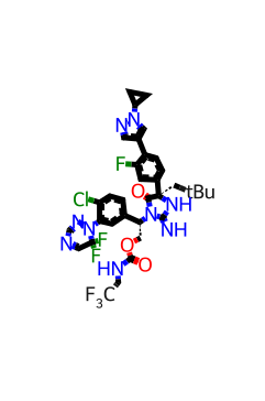 CC(C)(C)C[C@]1(c2ccc(-c3cnn(C4CC4)c3)c(F)c2)NC(=N)N([C@H](COC(=O)NCC(F)(F)F)c2ccc(Cl)c(N3N=CN=CC3(F)F)c2)C1=O